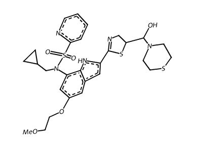 COCCOc1cc(N(CC2CC2)S(=O)(=O)c2ccccn2)c2[nH]c(C3=NCC(C(O)N4CCSCC4)S3)cc2c1